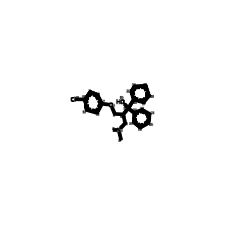 CN(C)CC(COc1ccc(Cl)cc1)C(O)(c1ccccc1)c1ccccc1